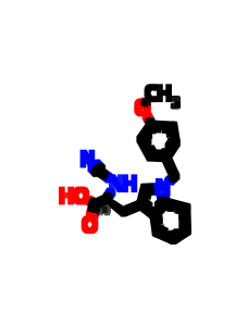 COc1ccc(Cn2cc(C[C@H](NC#N)C(=O)O)c3ccccc32)cc1